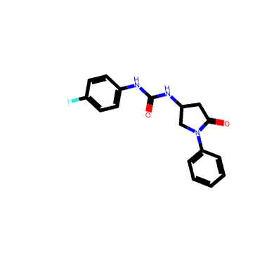 O=C(Nc1ccc(F)cc1)NC1CC(=O)N(c2ccccc2)C1